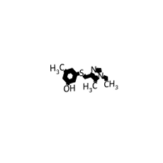 CCn1cnc(CSc2cc(C)cc(O)c2)c1C